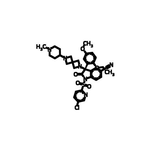 CCOc1ccc(OC)cc1[C@]1(N2CC3(CN(C4CCN(C)CC4)C3)C2)C(=O)N(S(=O)(=O)c2ccc(Cl)cn2)c2ccc(C#N)cc21